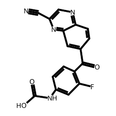 N#Cc1cnc2ccc(C(=O)c3ccc(NC(=O)O)cc3F)cc2n1